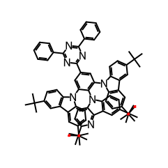 CC(C)(C)c1ccc2c(c1)c1cc(C(C)(C)C)ccc1n2-c1cc(-c2nc(-c3ccccc3)nc(-c3ccccc3)n2)cc(-n2c3ccc(C(C)(C)C)cc3c3cc(C(C)(C)C)ccc32)c1-n1c2ccc(C(C)(C)C)cc2c2nc(C(C)(C)C)ccc21